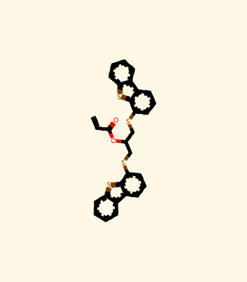 C=CC(=O)OC(CSc1cccc2c1sc1ccccc12)CSc1cccc2c1sc1ccccc12